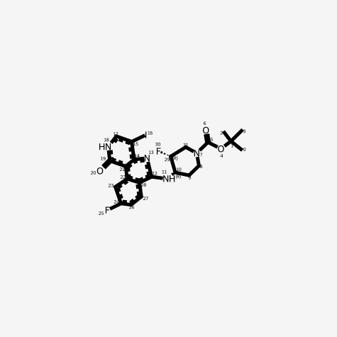 CC(C)(C)OC(=O)N1CC[C@@H](Nc2nc3c(I)c[nH]c(=O)c3c3cc(F)ccc23)[C@H](F)C1